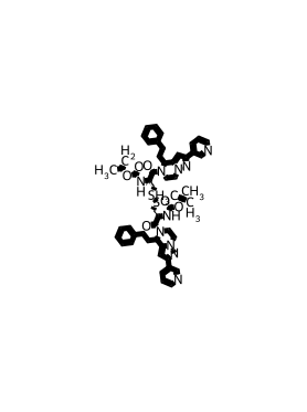 C=C(C)OC(=O)N[C@@H](CSSC[C@H](NC(=O)OC(C)(C)C)C(=O)N1CCn2nc(-c3cccnc3)cc2C1CCc1ccccc1)C(=O)N1CCn2nc(-c3cccnc3)cc2C1CCc1ccccc1